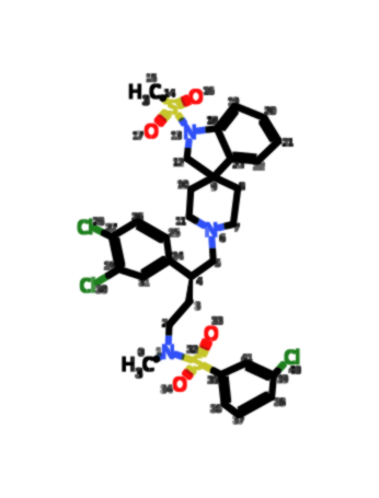 CN(CC[C@H](CN1CCC2(CC1)CN(S(C)(=O)=O)c1ccccc12)c1ccc(Cl)c(Cl)c1)S(=O)(=O)c1cccc(Cl)c1